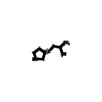 C1CCNC1.CCC(C)O